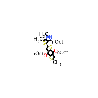 CCCCCCCCOc1c2cc(-c3sc(C)c4c3c(CCCCCCCC)nn4C)sc2c(OCCCCCCCC)c2cc(C)sc12